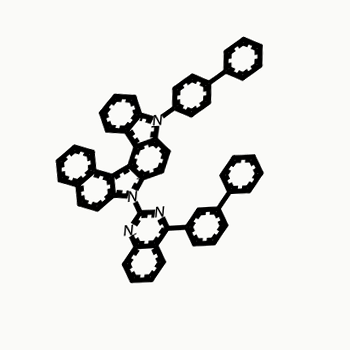 c1ccc(-c2ccc(-n3c4ccccc4c4c5c6c7ccccc7ccc6n(-c6nc(-c7cccc(-c8ccccc8)c7)c7ccccc7n6)c5ccc43)cc2)cc1